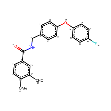 COc1ccc(C(=O)NCc2ccc(Oc3ccc(F)cc3)cc2)cc1C=O